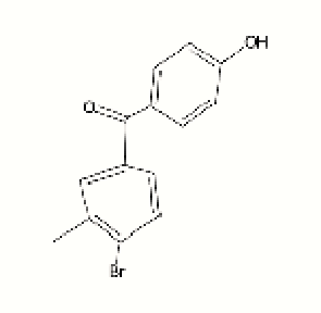 Cc1cc(C(=O)c2ccc(O)cc2)ccc1Br